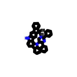 CC1(C)c2ccccc2-c2cc3[nH]c4ccc5c6ccccc6n(-c6cnc(-c7ccccc7)nc6-c6ccccc6)c5c4c3cc21